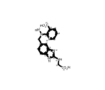 CCCN(Cc1ccc2[nH]c(NCC(=O)O)nc2c1)c1ncccc1C(=O)O